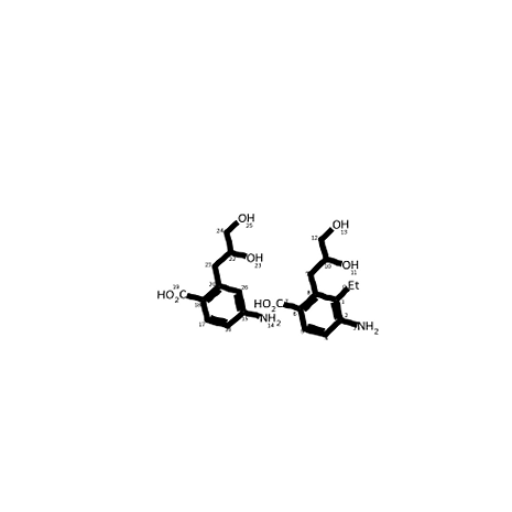 CCc1c(N)ccc(C(=O)O)c1CC(O)CO.Nc1ccc(C(=O)O)c(CC(O)CO)c1